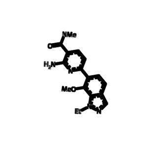 CCn1ncc2ccc(-c3ccc(C(=O)NC)c(N)n3)c(OC)c21